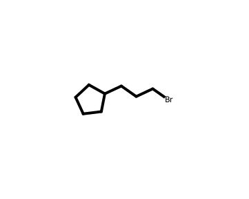 BrCCCC1CCCC1